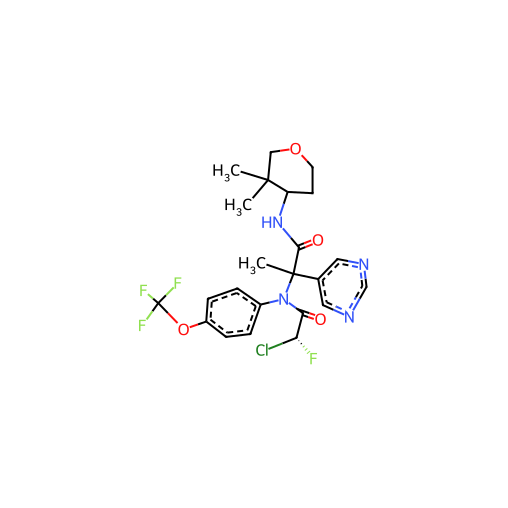 CC1(C)COCCC1NC(=O)C(C)(c1cncnc1)N(C(=O)[C@H](F)Cl)c1ccc(OC(F)(F)F)cc1